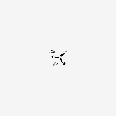 O=[N+]([O-])O.[Cu].[Fe]